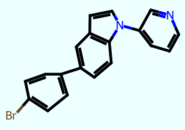 Brc1ccc(-c2ccc3c(ccn3-c3cccnc3)c2)cc1